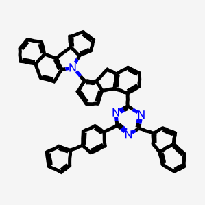 c1ccc(-c2ccc(-c3nc(-c4ccc5ccccc5c4)nc(-c4cccc5c4-c4cccc(-n6c7ccccc7c7c8ccccc8ccc76)c4C5)n3)cc2)cc1